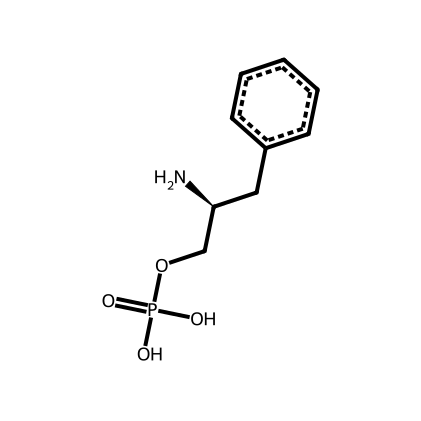 N[C@H](COP(=O)(O)O)Cc1ccccc1